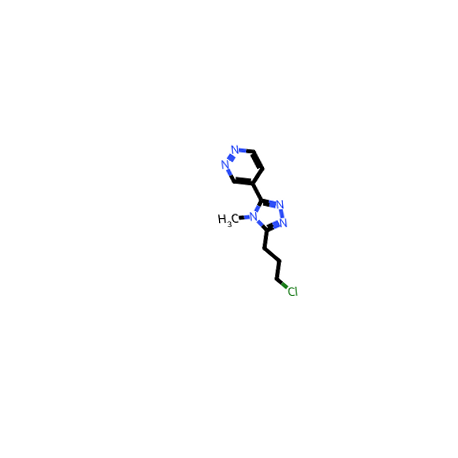 Cn1c(CCCCl)nnc1-c1ccnnc1